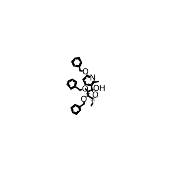 CC[C@H]1OC(O)(c2ccc(OCc3ccccc3)nc2C)C(OCc2ccccc2)[C@H]1OCc1ccccc1